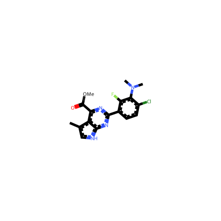 COC(=O)c1nc(-c2ccc(Cl)c(N(C)C)c2F)nc2[nH]cc(C)c12